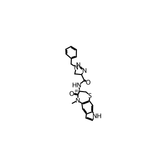 CN1C(=O)[C@@H](NC(=O)C2CN(Cc3ccccc3)N=N2)CSc2cc3[nH]ccc3cc21